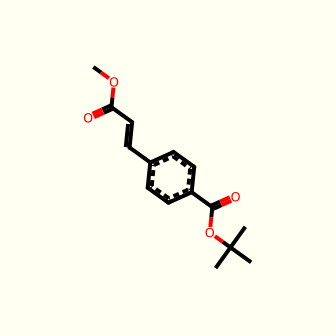 COC(=O)C=Cc1ccc(C(=O)OC(C)(C)C)cc1